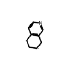 [CH]1CCc2ccncc2C1